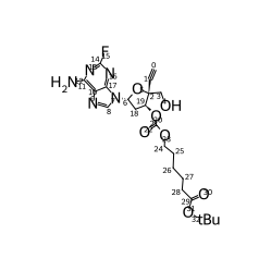 C#C[C@]1(CO)O[C@@H](n2cnc3c(N)nc(F)nc32)C[C@@H]1OC(=O)OCCCCCC(=O)OC(C)(C)C